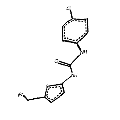 CC(C)Cc1ccc(NC(=O)Nc2ccc(Cl)cc2)s1